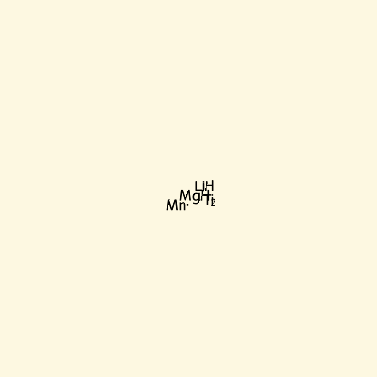 [LiH].[MgH2].[Mn].[Ti]